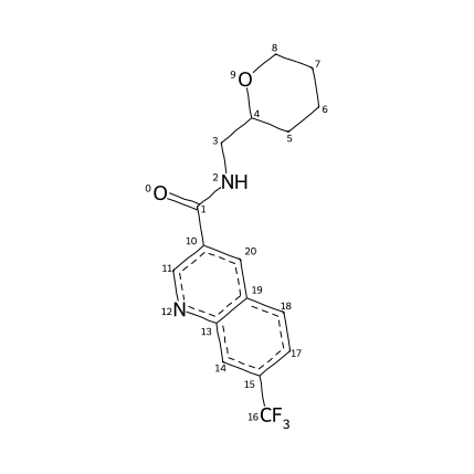 O=C(NCC1CCCCO1)c1cnc2cc(C(F)(F)F)ccc2c1